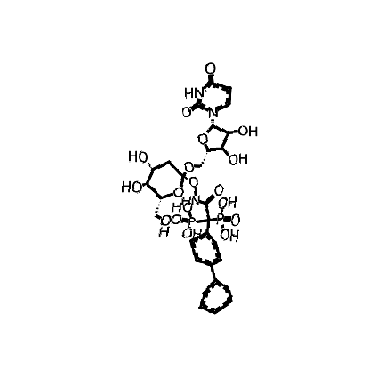 O=C(NO[C@@]1(OC[C@@H]2O[C@H](n3ccc(=O)[nH]c3=O)C(O)C2O)C[C@@H](O)[C@H](O)[C@@H](CO)O1)C(c1ccc(-c2ccccc2)cc1)(P(=O)(O)O)P(=O)(O)O